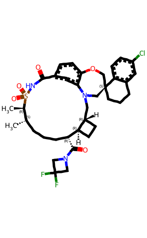 C[C@@H]1[C@@H](C)CCC[C@@H](C(=O)N2CC(F)(F)C2)[C@@H]2CC[C@H]2CN2C[C@@]3(CCCc4cc(Cl)ccc43)COc3ccc(cc32)C(=O)NS1(=O)=O